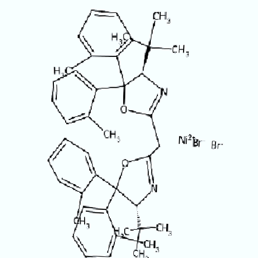 Cc1ccccc1C1(c2ccccc2C)OC(CC2=N[C@H](C(C)(C)C)C(c3ccccc3C)(c3ccccc3C)O2)=N[C@@H]1C(C)(C)C.[Br-].[Br-].[Ni+2]